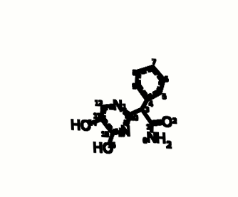 NC(=O)C(c1ccccc1)c1ncc(O)c(O)n1